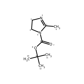 CC1=NCCN1C(=O)OC(C)(C)C